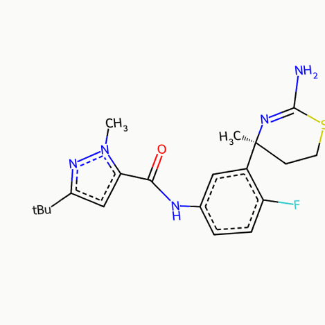 Cn1nc(C(C)(C)C)cc1C(=O)Nc1ccc(F)c([C@]2(C)CCSC(N)=N2)c1